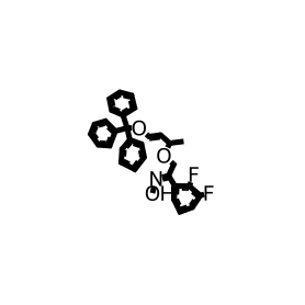 CC(C=COC(c1ccccc1)(c1ccccc1)c1ccccc1)OCC(=NO)c1cccc(F)c1F